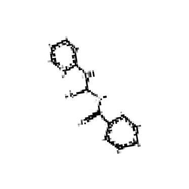 O=C(NC(S)Nc1ccccn1)c1ccccc1